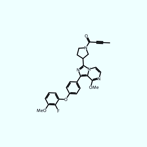 CC#CC(=O)N1CCC(c2nc(-c3ccc(Oc4cccc(OC)c4F)cc3)c3c(OC)nccn23)C1